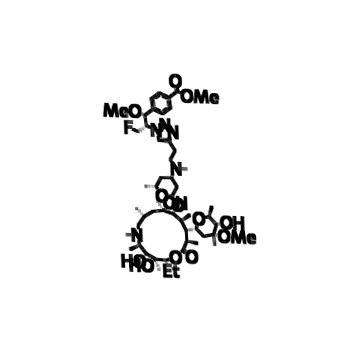 CC[C@H]1OC(=O)[C@H](C)C([C@H]2C[C@@](C)(OC)[C@@H](O)[C@H](C)O2)[C@H](C)[C@@H](O[C@H]2C[C@@H](N(C)CCc3cn([C@H](CF)[C@H](OC)c4ccc(C(=O)OC)cc4)nn3)C[C@@H](C)O2)[C@](C)(O)C[C@@H](C)CN(C)[C@H](C)[C@@H](O)[C@]1(C)O